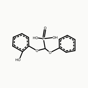 O=P(O)(O)C(Oc1ccccc1)Oc1ccccc1O